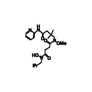 CON(CC(C)(C)CC(=O)Nc1ccccn1)C(=O)CCC(=O)N(O)CC(C)C